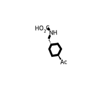 CC(=O)[C@H]1CC[C@H](CNC(=O)O)CC1